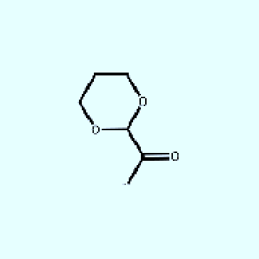 [CH2]C(=O)C1OCCCO1